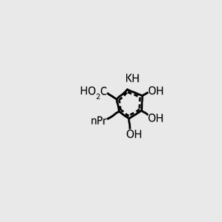 CCCc1c(C(=O)O)cc(O)c(O)c1O.[KH]